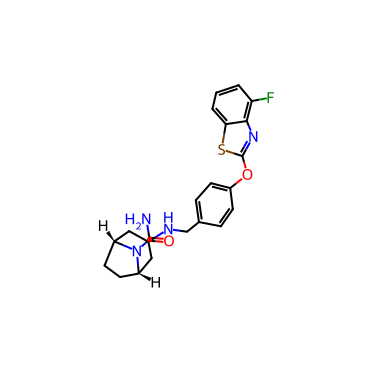 NC(=O)N1[C@@H]2CC[C@H]1CC(NCc1ccc(Oc3nc4c(F)cccc4s3)cc1)C2